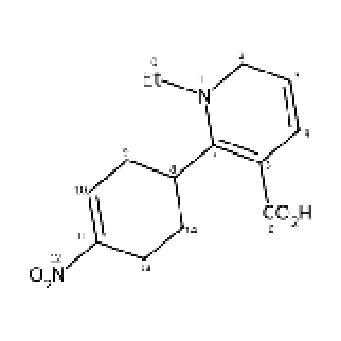 CCN1CC=CC(C(=O)O)=C1C1CC=C([N+](=O)[O-])CC1